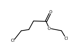 O=C(CCCCl)OCCl